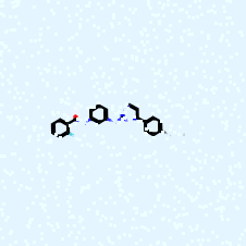 CC(=O)Nc1ccc(-c2ccnc(Nc3cccc(NC(=O)c4ccccc4F)c3)n2)cc1